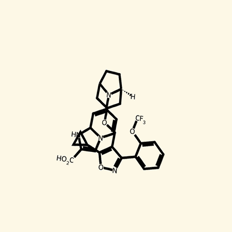 O=C(O)C1=CN2C=CC(N3C4CC[C@H]3CC(OCc3c(-c5ccccc5OC(F)(F)F)noc3C3CC3)C4)=CC2N1